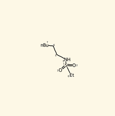 [CH2]CS(=O)(=O)NCCCCCC